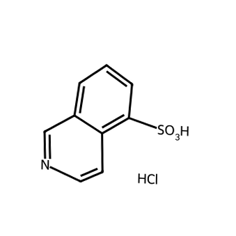 Cl.O=S(=O)(O)c1cccc2cnccc12